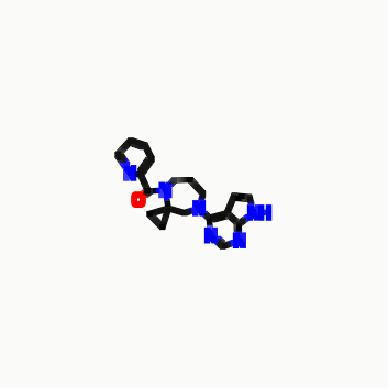 O=C(c1ccccn1)N1CCCN(c2ncnc3[nH]ccc23)CC12CC2